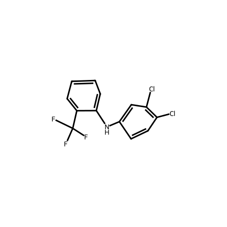 FC(F)(F)c1ccccc1Nc1ccc(Cl)c(Cl)c1